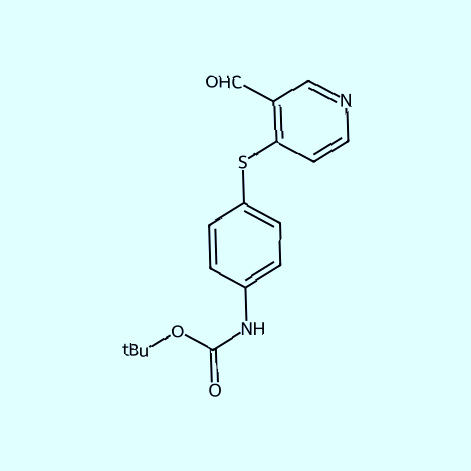 CC(C)(C)OC(=O)Nc1ccc(Sc2ccncc2C=O)cc1